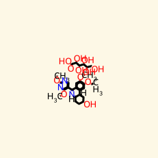 CCOc1cc2c(cc1OC)C(c1cnc(OC)nc1OC)=N[C@@H]1CC[C@@H](O)C[C@H]21.O=C(O)[C@H](O)[C@@H](O)[C@H](O)[C@H](O)CO